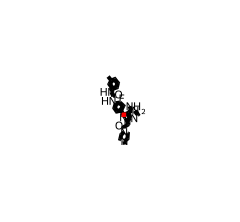 Cc1cccc(NC(=O)Nc2ccc(-c3nn(CC(=O)N4CCN(C)CC4)c4ncnc(N)c34)cc2F)c1